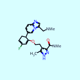 CNCc1cnc2ccc(C3CC=C(F)C=C3OCCc3c(C(=O)NC)n[nH]c3C)cn12